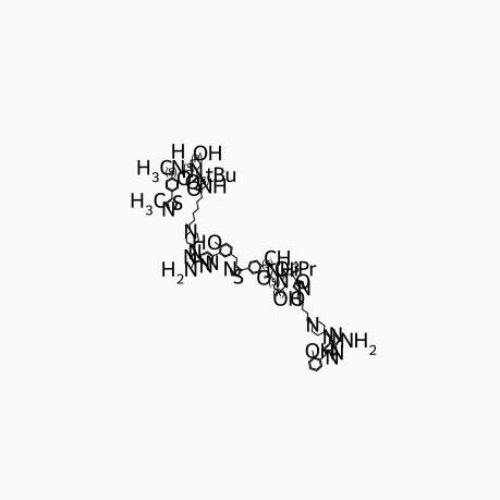 Cc1ncsc1-c1ccc([C@H](C)NC(=O)[C@@H]2C[C@@H](O)CN2C(=O)[C@@H](NC(=O)CCCCCCN2CCC(n3nc(N)c4nnc(-c5cc(Cc6ncsc6-c6ccc([C@H](C)NC(=O)[C@@H]7C[C@@H](O)CN7C(=O)C(c7cc(OCCCCN8CCC(n9nc(N)c%10nnc(-c%11ccccc%11O)cc%109)CC8)no7)C(C)C)cc6)ccc5O)cc43)CC2)C(C)(C)C)cc1